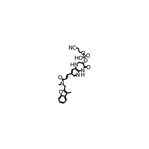 Cc1c(CN(C)C(=O)/C=C/c2cnc3c(c2)NC[C@H](OP(=O)(O)OCCC#N)C(=O)N3)oc2ccccc12